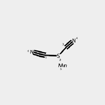 N#CSC#N.[Mn]